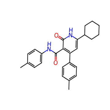 Cc1ccc(NC(=O)c2c(-c3ccc(C)cc3)cc(C3CCCCC3)[nH]c2=O)cc1